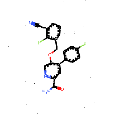 N#Cc1cccc(COc2cnc(C(N)=O)cc2-c2ccc(F)cc2)c1F